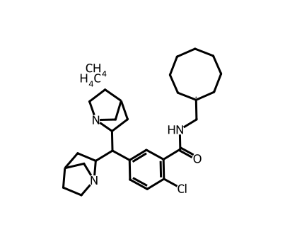 C.C.O=C(NC[C]1CCCCCCC1)c1cc(C(C2CC3CCN2C3)C2CC3CCN2C3)ccc1Cl